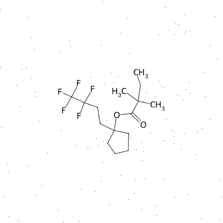 CCC(C)(C)C(=O)OC1(CCC(F)(F)C(F)(F)F)CCCC1